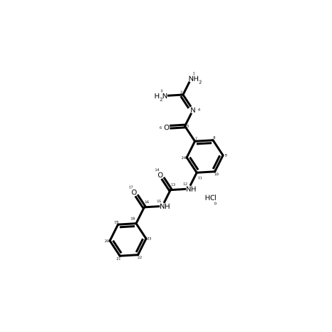 Cl.NC(N)=NC(=O)c1cccc(NC(=O)NC(=O)c2ccccc2)c1